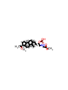 COC(=O)CNCC(OC(=O)O)[C@@H]1CC[C@@]2(C)[C@@H](CC[C@@H]3[C@@H]2CC[C@]2(C)[C@@H](C(C)=O)CC[C@@H]32)C1